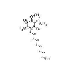 COC1=C(OC)C(=O)C(CCCCCCCCCO)=C(C)C1=O